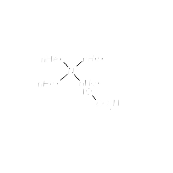 CCCCCC[N+](CCCCCC)(CCCCCC)CCCCCC.O=C(O)O